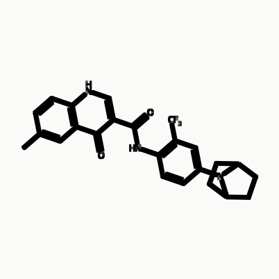 Cc1ccc2[nH]cc(C(=O)Nc3ccc(N4C5CCC4CC5)cc3C(F)(F)F)c(=O)c2c1